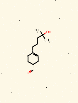 CC(C)(O)CCCC1=CC[C@H](C=O)CC1